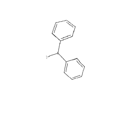 [C][C](c1ccccc1)c1ccccc1